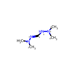 CN(C)/N=C/NN(C)C